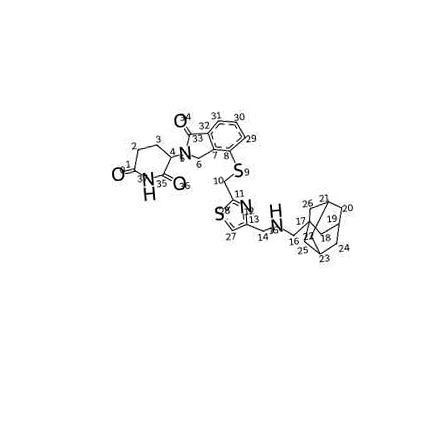 O=C1CCC(N2Cc3c(SCc4nc(CNCC56CC7CC(CC(C7)C5)C6)cs4)cccc3C2=O)C(=O)N1